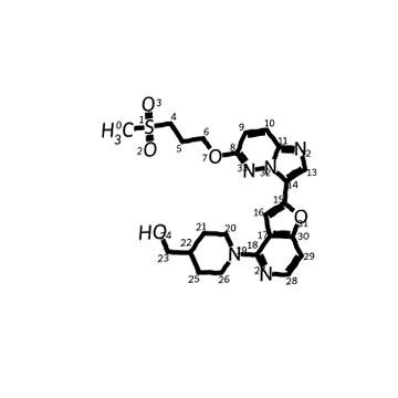 CS(=O)(=O)CCCOc1ccc2ncc(-c3cc4c(N5CCC(CO)CC5)nccc4o3)n2n1